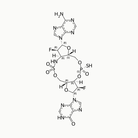 Nc1ncnc2c1ncn2[C@@H]1O[C@@H]2CO[P@](=O)(S)O[C@H]3[C@@H](F)[C@H](n4cnc5c(=O)[nH]cnc54)O[C@@H]3COS(=O)(=O)N[C@H]2[C@H]1F